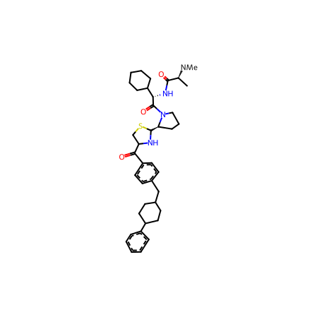 CN[C@@H](C)C(=O)N[C@H](C(=O)N1CCC[C@H]1C1NC(C(=O)c2ccc(CC3CCC(c4ccccc4)CC3)cc2)CS1)C1CCCCC1